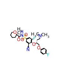 CN(C)CC[C@H](COc1ccc(F)cc1)Oc1c(F)cc(S(=O)(=O)NC(=O)[C@@]2(C)CCCCO2)cc1C#N